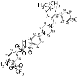 CC1(C)CCC(CN2CCN(c3ccc(C(=O)NS(=O)(=O)c4ccc(N)c(S(=O)(=O)C(F)(F)F)c4)cc3)CC2)=C(c2ccc(Cl)cc2)C1